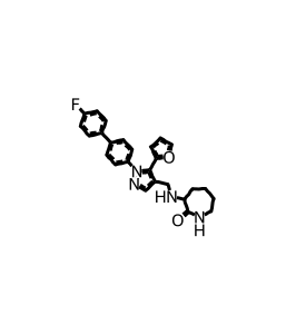 O=C1NCCCCC1NCc1cnn(-c2ccc(-c3ccc(F)cc3)cc2)c1-c1ccco1